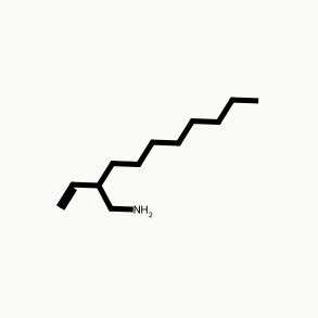 C=CC(CN)CCCCCCCC